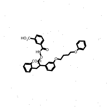 O=C(O)c1cccc(C(=O)NOCC(Cc2ccccc2C(=O)O)c2cccc(OCCCCOc3ccccc3)c2)c1